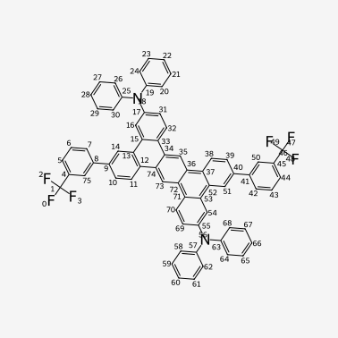 FC(F)(F)c1cccc(-c2ccc3c(c2)c2cc(N(c4ccccc4)c4ccccc4)ccc2c2cc4c5ccc(-c6cccc(C(F)(F)F)c6)cc5c5cc(N(c6ccccc6)c6ccccc6)ccc5c4cc32)c1